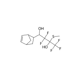 CSC(O)(C(F)(F)F)C(F)(F)C(O)C1CC2C=CC1C2